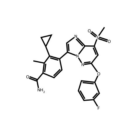 Cc1c(C(N)=O)ccc(-c2cnc3c(S(C)(=O)=O)cc(Oc4cccc(F)c4)nn23)c1C1CC1